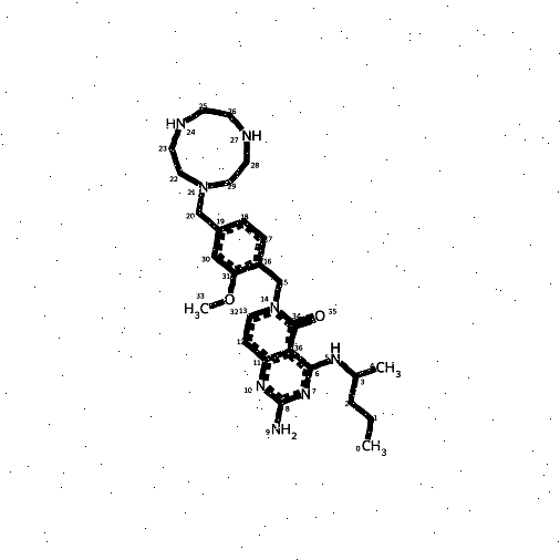 CCCC(C)Nc1nc(N)nc2ccn(Cc3ccc(CN4CCNCCNCC4)cc3OC)c(=O)c12